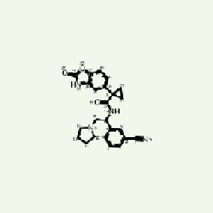 N#Cc1cccc([C@@H](CN2CCCC2)NC(=O)C2(c3ccc4oc(=O)[nH]c4c3)CC2)c1